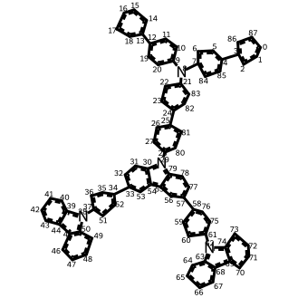 c1ccc(-c2ccc(N(c3ccc(-c4ccccc4)cc3)c3ccc(-c4ccc(-n5c6ccc(-c7ccc(-n8c9ccccc9c9ccccc98)cc7)cc6c6cc(-c7ccc(-n8c9ccccc9c9ccccc98)cc7)ccc65)cc4)cc3)cc2)cc1